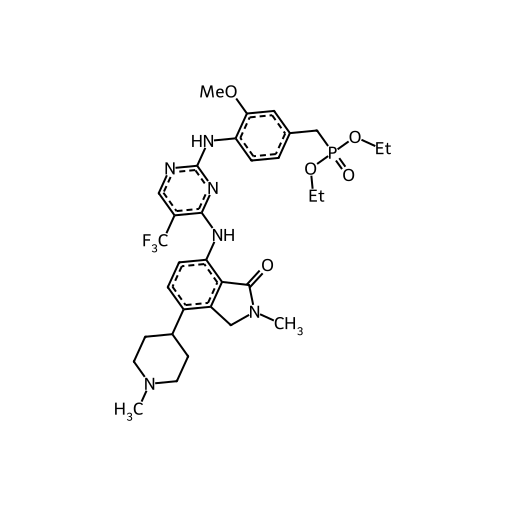 CCOP(=O)(Cc1ccc(Nc2ncc(C(F)(F)F)c(Nc3ccc(C4CCN(C)CC4)c4c3C(=O)N(C)C4)n2)c(OC)c1)OCC